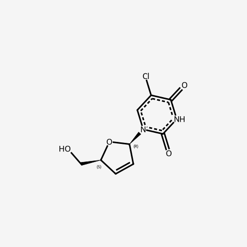 O=c1[nH]c(=O)n([C@H]2C=C[C@@H](CO)O2)cc1Cl